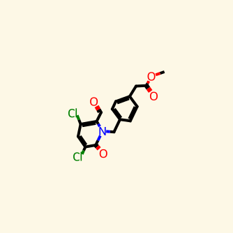 COC(=O)Cc1ccc(Cn2c(C=O)c(Cl)cc(Cl)c2=O)cc1